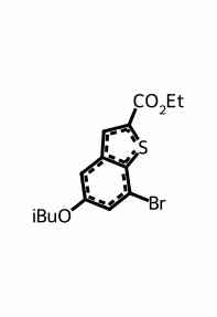 CCOC(=O)c1cc2cc(OCC(C)C)cc(Br)c2s1